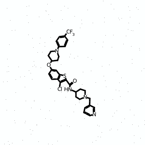 O=C(NC1CCN(Cc2cccnc2)CC1)c1sc2cc(OC3CCN(c4ccc(C(F)(F)F)cc4)CC3)ccc2c1Cl